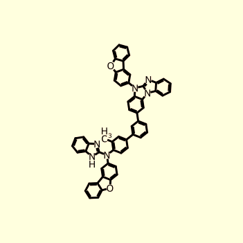 Cc1cc(-c2cccc(-c3ccc4c(c3)n3c5ccccc5nc3n4-c3ccc4oc5ccccc5c4c3)c2)ccc1N(c1ccc2oc3ccccc3c2c1)c1nc2ccccc2[nH]1